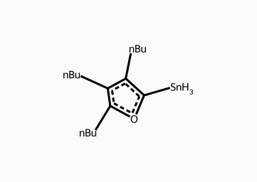 CCCCc1o[c]([SnH3])c(CCCC)c1CCCC